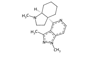 Cc1nn(C)c2ccnc([C@@]34CCCC[C@@H]3N(C)CC4)c12